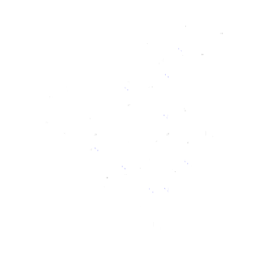 CCn1nc2nc(C)c(N3CCN(C(=O)N4CC(O)C4)CC3)cc2c1N(C)c1nc(-c2ccc(F)cc2)c(C#N)s1